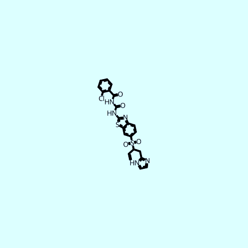 C=CC(Cc1ncc[nH]1)S(=O)(=O)c1ccc2nc(NC(=O)NC(=O)c3ccccc3Cl)sc2c1